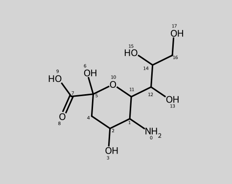 NC1C(O)CC(O)(C(=O)O)OC1C(O)C(O)CO